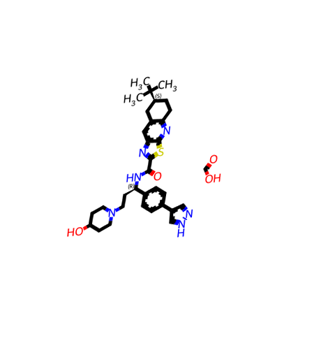 CC(C)(C)[C@H]1CCc2nc3sc(C(=O)N[C@H](CCN4CCC(O)CC4)c4ccc(-c5cn[nH]c5)cc4)nc3cc2C1.O=CO